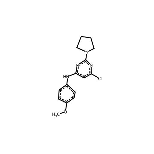 COc1ccc(Nc2cc(Cl)nc(N3CCCC3)n2)cc1